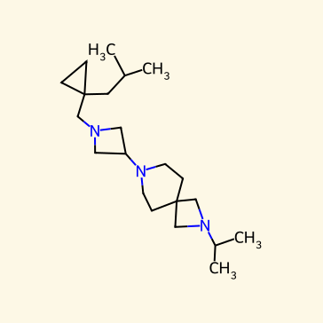 CC(C)CC1(CN2CC(N3CCC4(CC3)CN(C(C)C)C4)C2)CC1